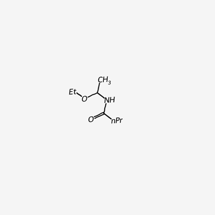 CCCC(=O)NC(C)OCC